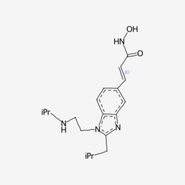 CC(C)Cc1nc2cc(/C=C/C(=O)NO)ccc2n1CCNC(C)C